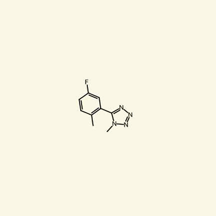 Cc1ccc(F)cc1-c1nnnn1C